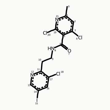 Cc1cc(Cl)c(C(=O)NCCc2ncc(I)cc2Cl)c(Cl)n1